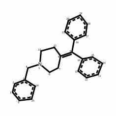 c1ccc(CN2CCC(=C(c3ccccc3)c3ccccc3)CC2)cc1